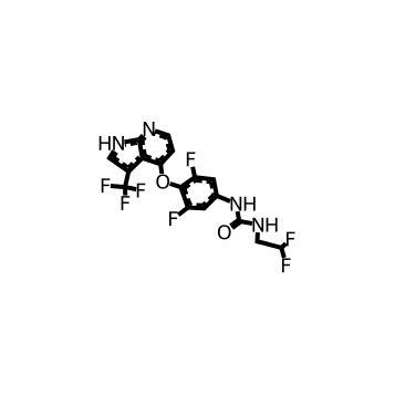 O=C(NCC(F)F)Nc1cc(F)c(Oc2ccnc3[nH]cc(C(F)(F)F)c23)c(F)c1